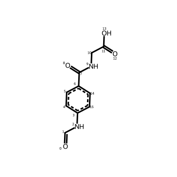 O=CNc1ccc(C(=O)NCC(=O)O)cc1